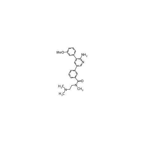 COc1cccc(-c2cc(-c3cccc(C(=O)N(C)CCN(C)C)c3)cnc2N)c1